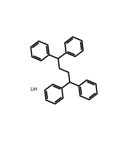 [LiH].c1ccc(C(CCC(c2ccccc2)c2ccccc2)c2ccccc2)cc1